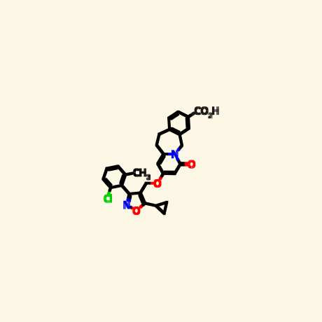 Cc1cccc(Cl)c1-c1noc(C2CC2)c1COc1cc2n(c(=O)c1)Cc1cc(C(=O)O)ccc1CC2